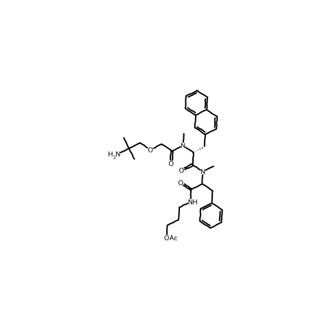 CC(=O)OCCCNC(=O)C(Cc1ccccc1)N(C)C(=O)[C@@H](Cc1ccc2ccccc2c1)N(C)C(=O)COCC(C)(C)N